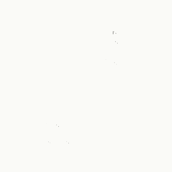 CCNN1CCN(c2ccc(C(=O)CCc3ccc(NC4=NCCN4)cc3)cc2)C(=C=O)C1